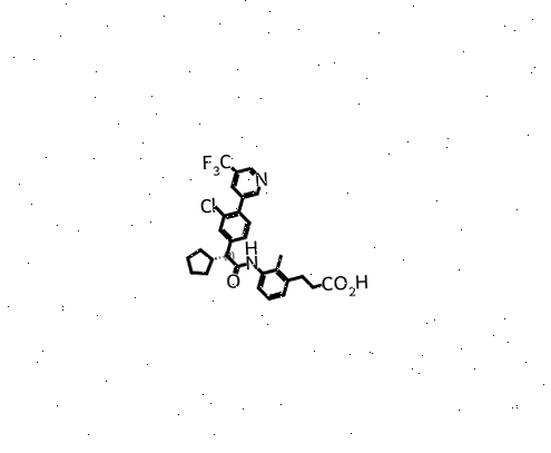 Cc1c(CCC(=O)O)cccc1NC(=O)[C@@H](c1ccc(-c2cncc(C(F)(F)F)c2)c(Cl)c1)C1CCCC1